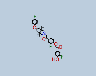 O=C(COc1ccc(C(=O)CN2C[C@H]3C[C@@H](Oc4ccc(F)cc4)C[C@H]3C2)cc1F)c1ccc(O)c(F)c1